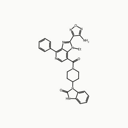 CCn1c(-c2nonc2N)nc2c(-c3ccccc3)ncc(C(=O)N3CCC(n4c(=O)[nH]c5ccccc54)CC3)c21